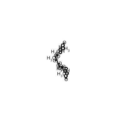 CC(OC(=O)CCC(=O)OC(C)OC(=O)O[C@H]1CC[C@H]2[C@@H]3CCC4=CC(=O)CC[C@]4(C)[C@H]3CC[C@]12C)OC(=O)O[C@H]1CC[C@H]2[C@@H]3CCC4=CC(=O)CC[C@]4(C)[C@H]3CC[C@]12C